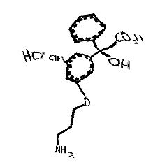 Cl.Cl.NCCCOc1cccc(C(O)(C(=O)O)c2ccccc2)c1